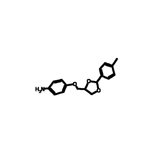 Cc1ccc(C2OCC(COc3ccc(N)cc3)O2)cc1